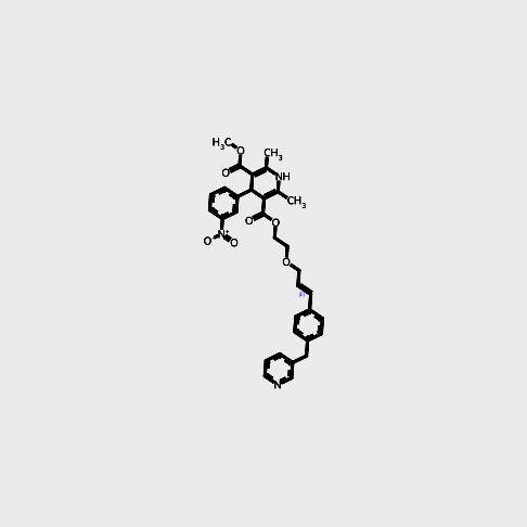 COC(=O)C1=C(C)NC(C)=C(C(=O)OCCOC/C=C/c2ccc(Cc3cccnc3)cc2)C1c1cccc([N+](=O)[O-])c1